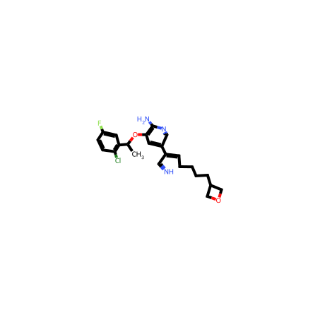 CC(Oc1cc(/C(C=N)=C/CCCCC2COC2)cnc1N)c1cc(F)ccc1Cl